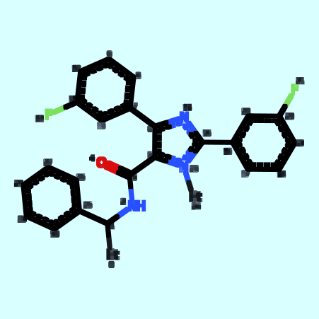 CCC(NC(=O)c1c(-c2cccc(F)c2)nc(-c2cccc(F)c2)n1CC)c1ccccc1